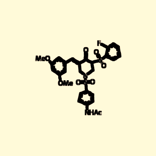 COc1cc(C=C2CN(S(=O)(=O)c3ccc(NC(C)=O)cc3)CC(S(=O)(=O)c3ccccc3F)C2=O)cc(OC)c1